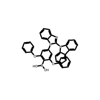 OB(O)c1c(Oc2ccccc2)cc(-n2c(-n3c4ccccc4c4ccccc43)nc3ccccc32)cc1Oc1ccccc1